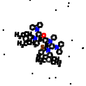 CC1(C)CCC(C)(C)c2cc(N3c4ccccc4B4c5cc6c(cc5Oc5cc(-n7c8ccccc8c8ccccc87)cc3c54)N(c3ccccc3)c3cc(-n4c5ccccc5c5ccccc54)cc4c3B6c3sc5ccccc5c3N4c3ccc4c(c3)C(C)(C)CCC4(C)C)ccc21